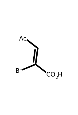 CC(=O)C=C(Br)C(=O)O